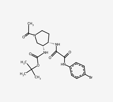 CC(=O)N1CC[C@H](NC(=O)C(=O)Nc2ccc(Br)cc2)[C@H](NC(=O)OC(C)(C)C)C1